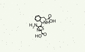 Nc1nc(C(=O)O)sc1C1N[C@H](C(=O)O)Cc2ccccc21